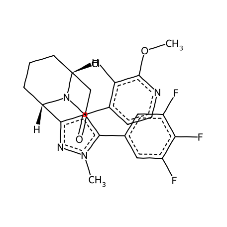 COc1nccc(C(=O)N2[C@@H]3CCC[C@H]2c2nn(C)c(-c4cc(F)c(F)c(F)c4)c2C3)c1Cl